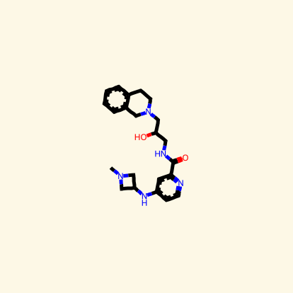 CN1CC(Nc2ccnc(C(=O)NCC(O)CN3CCc4ccccc4C3)c2)C1